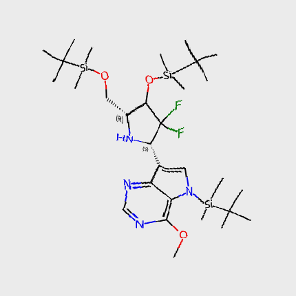 COc1ncnc2c([C@@H]3N[C@H](CO[Si](C)(C)C(C)(C)C)C(O[Si](C)(C)C(C)(C)C)C3(F)F)cn([Si](C)(C)C(C)(C)C)c12